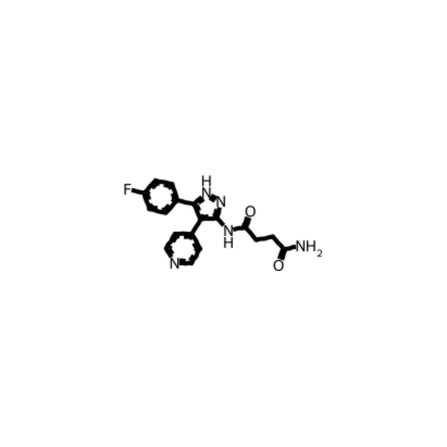 NC(=O)CCC(=O)Nc1n[nH]c(-c2ccc(F)cc2)c1-c1ccncc1